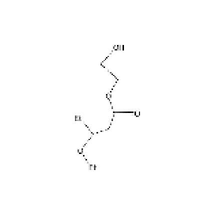 CCOC(CC)CC(=O)OCCO